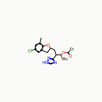 CCC(=O)OC(C(CC1Cc2cc(Cl)cc(C)c2O1)c1nc[nH]n1)C(C)(C)C